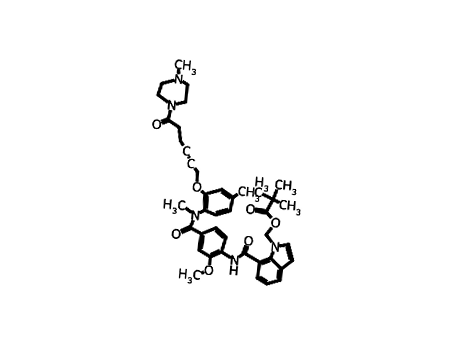 COc1cc(C(=O)N(C)c2ccc(C)cc2OCCCCCC(=O)N2CCN(C)CC2)ccc1NC(=O)c1cccc2ccn(COC(=O)C(C)(C)C)c12